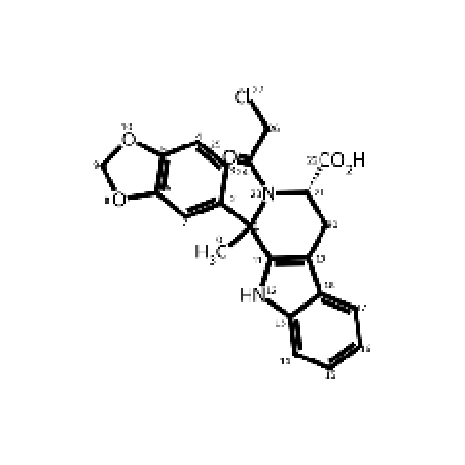 CC1(c2ccc3c(c2)OCO3)c2[nH]c3ccccc3c2C[C@@H](C(=O)O)N1C(=O)CCl